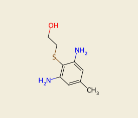 Cc1cc(N)c(SCCO)c(N)c1